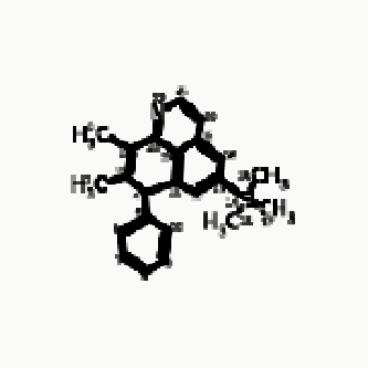 CC1=C(C)C(c2ccccc2)c2cc([Si](C)(C)C)cc3ccnc1c23